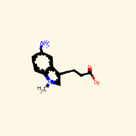 Cn1cc(CCC(=O)O)c2cc(N)ccc21